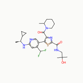 CC1CCCCN1C(=O)c1nc(C(=O)NCC(C)(C)O)sc1-c1cnc(N[C@@H](C)C2CC2)cc1C(F)F